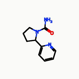 NC(=O)N1CCCC1c1ccccn1